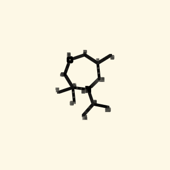 CC1COCC(C)(C)N(C(C)C)C1